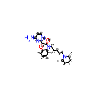 C[C@@H]1CCC[C@H](C)N1CCCCCN1C(=O)C(c2nccc(N)n2)Oc2ccccc21